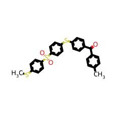 CSc1ccc(S(=O)(=O)c2ccc(Sc3ccc(C(=O)c4ccc(C)cc4)cc3)cc2)cc1